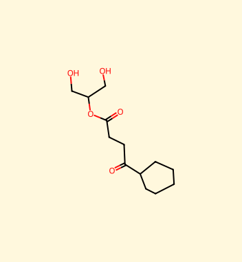 O=C(CCC(=O)C1CCCCC1)OC(CO)CO